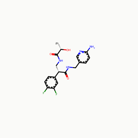 CC(C)[C@H](O)C(=O)NC[C@H](C(=O)NCc1ccc(N)nc1)c1ccc(F)c(F)c1